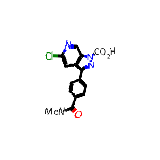 CNC(=O)c1ccc(-c2nn(C(=O)O)c3cnc(Cl)cc23)cc1